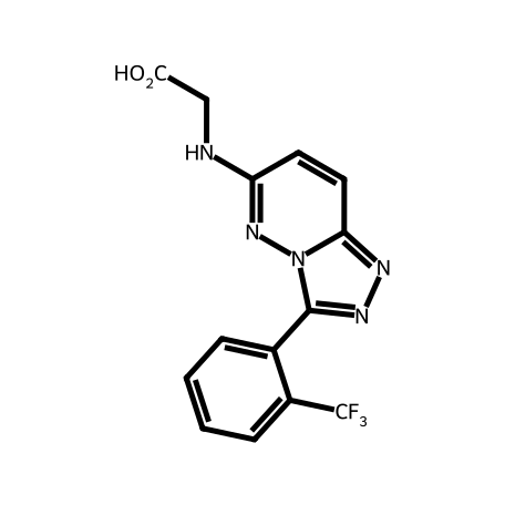 O=C(O)CNc1ccc2nnc(-c3ccccc3C(F)(F)F)n2n1